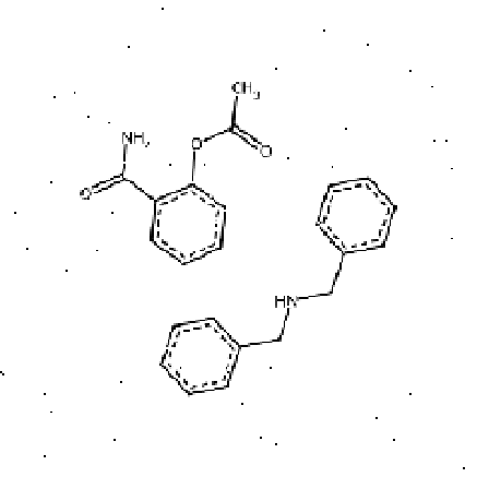 CC(=O)Oc1ccccc1C(N)=O.c1ccc(CNCc2ccccc2)cc1